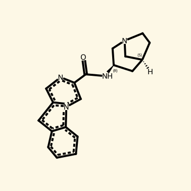 O=C(N[C@@H]1C[C@@H]2CCN(C2)C1)c1cn2c(cn1)cc1ccccc12